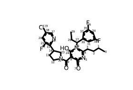 CCCCc1nc(=O)c(C(=O)N2CCC(c3ncc(Cl)cc3F)C2)c(O)n1C(CC)c1cc(F)cc(F)c1